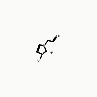 C=CCN1C=CN(C)C1.F